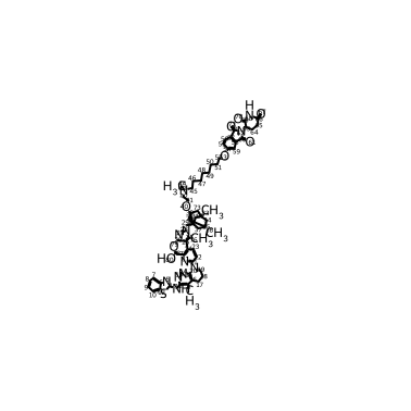 Cc1c(Nc2nc3ccccc3s2)nnc2c1CCCN2c1ccc(-c2cnn(CC34CC5(C)CC(C)(C3)CC(OCCN(C)CCCCCCCCOc3ccc6c(c3)C(=O)N(C3CCC(=O)NC3=O)C6=O)(C5)C4)c2C)c(C(=O)O)n1